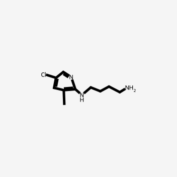 Cc1cc(Cl)cnc1NCCCCN